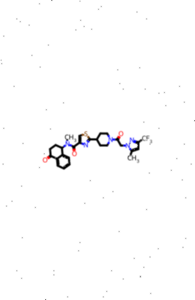 Cc1cc(C(F)(F)F)nn1CC(=O)N1CCC(c2nc(C(=O)N(C)C3CCC(=O)c4ccccc43)cs2)CC1